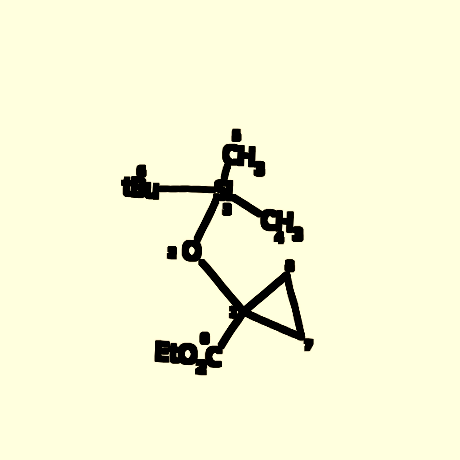 CCOC(=O)C1(O[Si](C)(C)C(C)(C)C)CC1